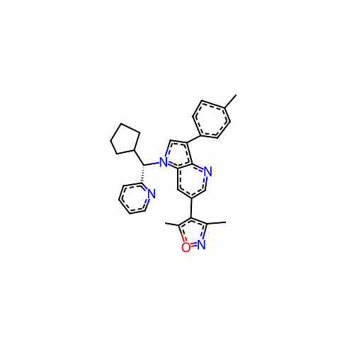 Cc1ccc(-c2cn([C@H](c3ccccn3)C3CCCC3)c3cc(-c4c(C)noc4C)cnc23)cc1